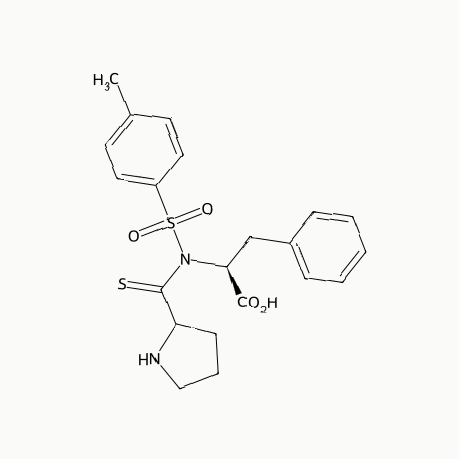 Cc1ccc(S(=O)(=O)N(C(=S)C2CCCN2)[C@@H](Cc2ccccc2)C(=O)O)cc1